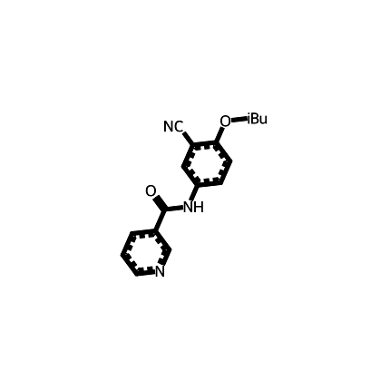 CCC(C)Oc1ccc(NC(=O)c2cccnc2)cc1C#N